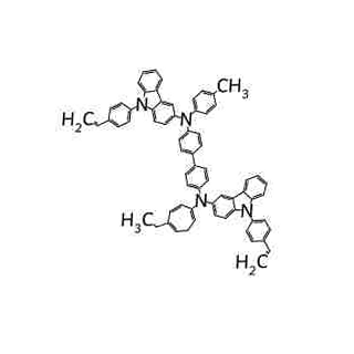 C=Cc1ccc(-n2c3ccccc3c3cc(N(C4=CCC=C(CC)C=C4)c4ccc(-c5ccc(N(c6ccc(C)cc6)c6ccc7c(c6)c6ccccc6n7-c6ccc(C=C)cc6)cc5)cc4)ccc32)cc1